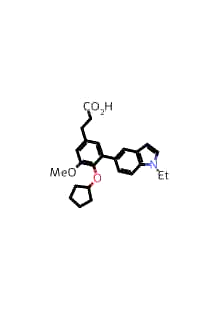 CCn1ccc2cc(-c3cc(CCC(=O)O)cc(OC)c3OC3CCCC3)ccc21